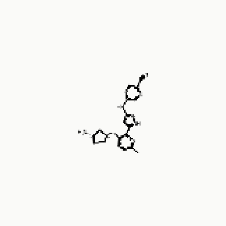 Cc1ccc(O[C@H]2CC[C@H](N)C2)c(-c2cc(Nc3cnc(C#N)cn3)n[nH]2)n1